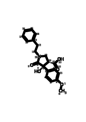 COc1ccc([C@@]2(O)C(=O)N(CCc3ccccc3)C[C@@H]2C(=O)O)cc1